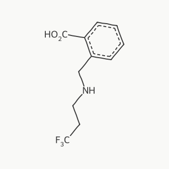 O=C(O)c1ccccc1CNCCC(F)(F)F